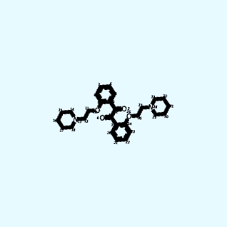 O=C(C(=O)c1ccccc1OCCN1CCCCC1)c1ccccc1OCCN1CCCCC1